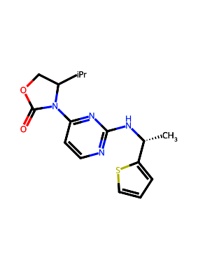 CC(C)C1COC(=O)N1c1ccnc(N[C@H](C)c2cccs2)n1